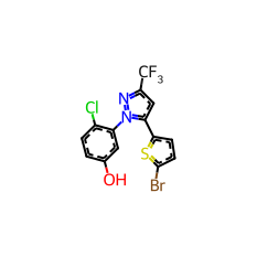 Oc1ccc(Cl)c(-n2nc(C(F)(F)F)cc2-c2ccc(Br)s2)c1